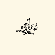 CC(N)C1CC(O)C(N=[N+]=[N-])[C@@H](O[C@@H]2C(N=[N+]=[N-])C[C@@H](N=[N+]=[N-])C(O)C2O)O1